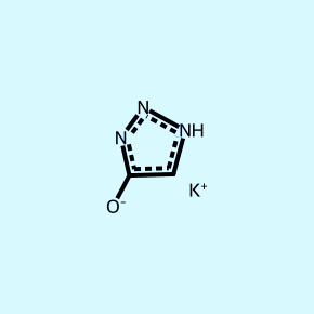 [K+].[O-]c1c[nH]nn1